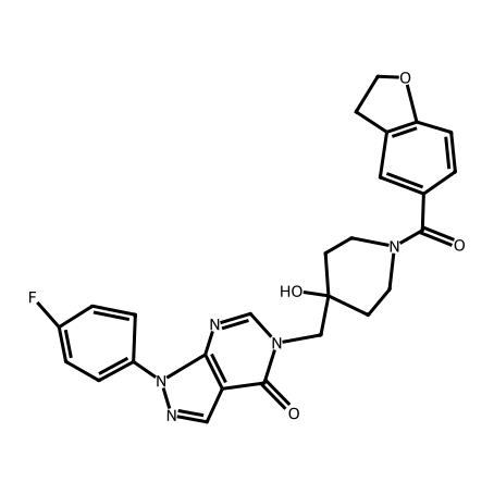 O=C(c1ccc2c(c1)CCO2)N1CCC(O)(Cn2cnc3c(cnn3-c3ccc(F)cc3)c2=O)CC1